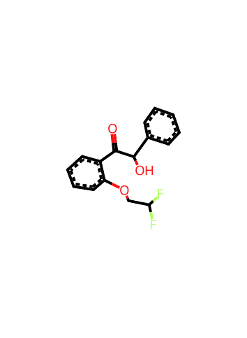 O=C(c1ccccc1OCC(F)F)C(O)c1ccccc1